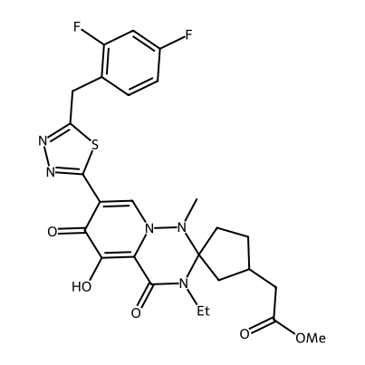 CCN1C(=O)c2c(O)c(=O)c(-c3nnc(Cc4ccc(F)cc4F)s3)cn2N(C)C12CCC(CC(=O)OC)C2